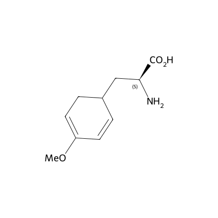 COC1=CCC(C[C@H](N)C(=O)O)C=C1